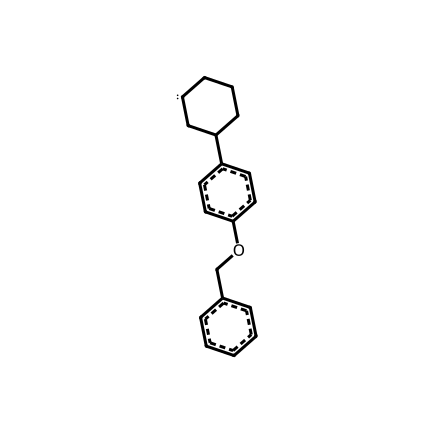 [C]1CCCC(c2ccc(OCc3ccccc3)cc2)C1